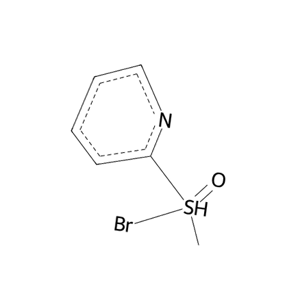 C[SH](=O)(Br)c1ccccn1